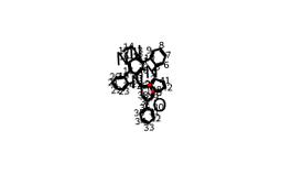 c1ccc(-n2c3ccccc3c3c4nccnc4c4c5ccccc5n(-c5ccc6oc7ccccc7c6c5)c4c32)cc1